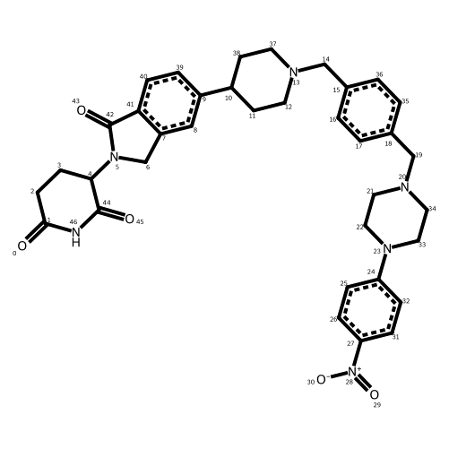 O=C1CCC(N2Cc3cc(C4CCN(Cc5ccc(CN6CCN(c7ccc([N+](=O)[O-])cc7)CC6)cc5)CC4)ccc3C2=O)C(=O)N1